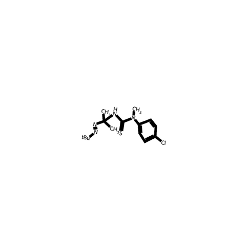 CN(C(=S)NC(C)(C)N=NC(C)(C)C)c1ccc(Cl)cc1